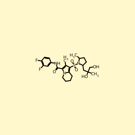 Cc1c(S(=O)(=O)N2C(C)CCC2CC(C)(O)CO)c2n(c1C(=O)Nc1ccc(F)c(F)c1)CCCC2